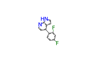 Fc1ccc(-c2ccnc3[nH]ccc23)c(F)c1